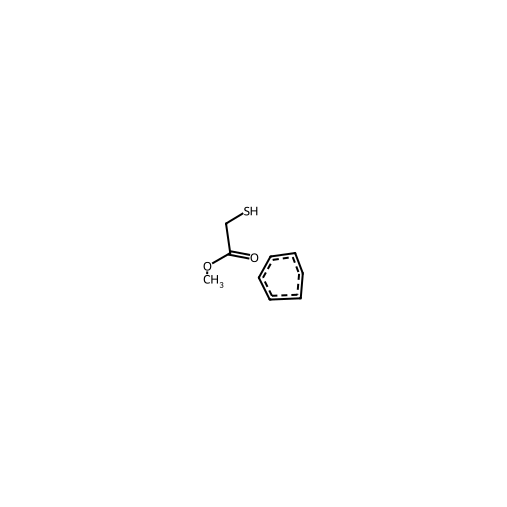 COC(=O)CS.c1ccccc1